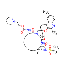 Cc1ccc2nc(C(F)(F)F)c3c(c2c1)CC[C@]1(C[C@H]2C(=O)N[C@]4(C(=O)NS(=O)(=O)C5(C)CC5)C[C@H]4/C=C\CCCCC[C@H](NC(=O)OCCN4CCCCC4)C(=O)N2C1)O3